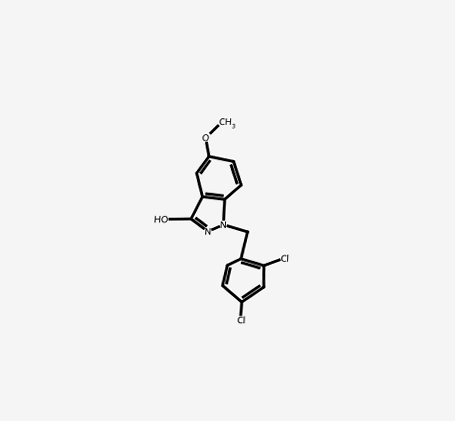 COc1ccc2c(c1)c(O)nn2Cc1ccc(Cl)cc1Cl